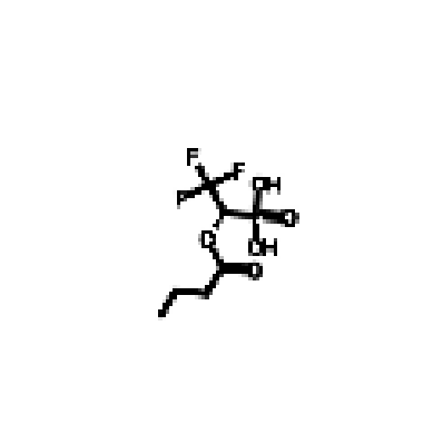 CCCC(=O)O[C@H](C(F)(F)F)P(=O)(O)O